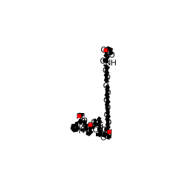 CC[C@H](C)C([C@@H](CC(=O)N1CCC[C@H]1[C@H](OC)[C@@H](C)C(=O)N[C@@H](Cc1ccccc1)c1nccs1)OC)N(C)C(=O)[C@@H](NC(=O)[C@H](C(C)C)N(C)C(=O)CCOCCOCCOCCOCCOCCOCCOCCOCCNC(=O)CCN1C(=O)C=CC1=O)C(C)C